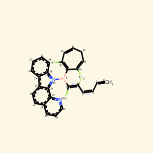 C=C/C=C\C(F)=C(/F)B(C1=C(F)C=CCC=C1F)n1c2ccccc2c2ccc3cccnc3c21